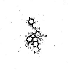 COP(=O)(c1cc(C)cc(CC#N)c1)c1c(C(=O)NCc2ccncn2)[nH]c2ccc(Cl)cc12